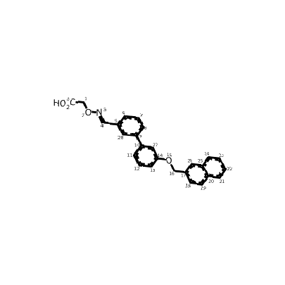 O=C(O)CON=Cc1cccc(-c2cccc(OCc3ccc4ccccc4c3)c2)c1